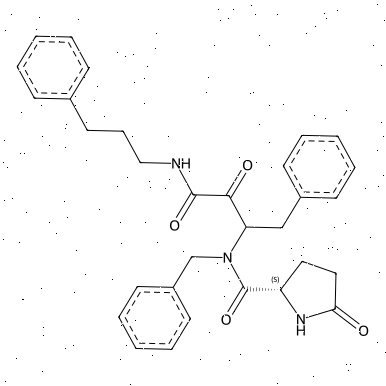 O=C1CC[C@@H](C(=O)N(Cc2ccccc2)C(Cc2ccccc2)C(=O)C(=O)NCCCc2ccccc2)N1